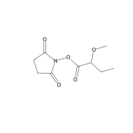 CCC(OC)C(=O)ON1C(=O)CCC1=O